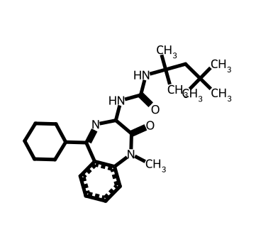 CN1C(=O)C(NC(=O)NC(C)(C)CC(C)(C)C)N=C(C2CCCCC2)c2ccccc21